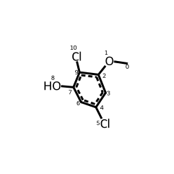 COc1cc(Cl)cc(O)c1Cl